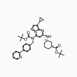 CC(C)(C)OC(=O)N1CCC[C@H](Nc2cc(N(Cc3ccc(-c4ccccn4)cc3)C(=O)OC(C)(C)C)n3ncc(C4CC4)c3n2)C1